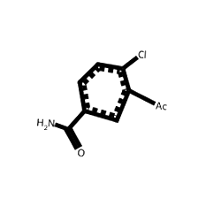 CC(=O)c1cc(C(N)=O)ccc1Cl